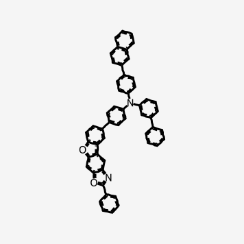 c1ccc(-c2cccc(N(c3ccc(-c4ccc5ccccc5c4)cc3)c3ccc(-c4ccc5oc6cc7oc(-c8ccccc8)nc7cc6c5c4)cc3)c2)cc1